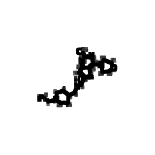 CC(C)CN1CCC(CNCc2cc3nc(Cl)nc(N4CCOCC4)c3s2)CC1